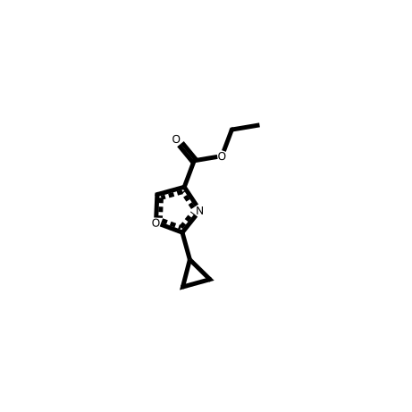 CCOC(=O)c1coc(C2CC2)n1